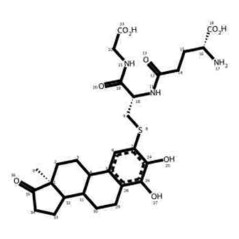 C[C@]12CCC3c4cc(SC[C@@H](NC(=O)CC[C@@H](N)C(=O)O)C(=O)NCC(=O)O)c(O)c(O)c4CCC3C1CCC2=O